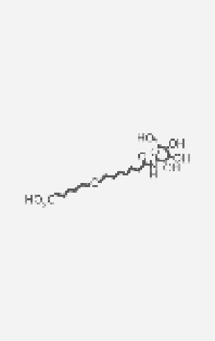 O=C(O)CCCCCCCCCCCCCCC(=O)N[C@@H]1O[C@H](CO)[C@H](O)[C@H](O)[C@H]1O